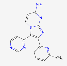 Cc1cccc(-c2nc3nc(N)ccn3c2-c2ccncn2)n1